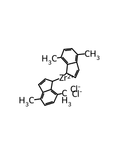 Cc1ccc(C)c2c1C=C[CH]2[Zr+2][CH]1C=Cc2c(C)ccc(C)c21.[Cl-].[Cl-]